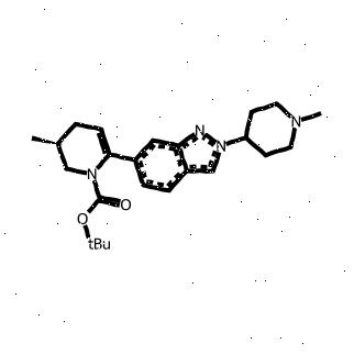 C[C@H]1CC=C(c2ccc3cn(C4CCN(C)CC4)nc3c2)N(C(=O)OC(C)(C)C)C1